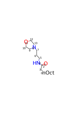 CCCCCCCCCC(=O)NCCCN1CCOCC1